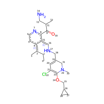 CC/C(C)=c1/ccnc(C(=O)C(C)CN)/c1=C/NCC1=CC(Cl)=C(OCC2CC2)N(C)C1